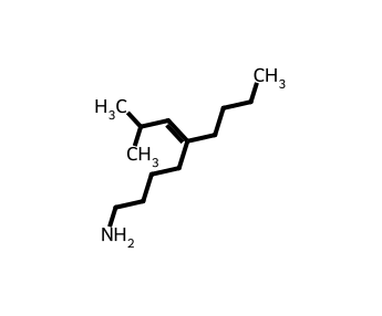 CCCCC(=CC(C)C)CCCCN